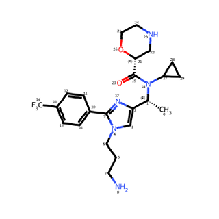 C[C@H](c1cn(CCCN)c(-c2ccc(C(F)(F)F)cc2)n1)N(C(=O)[C@H]1CNCCO1)C1CC1